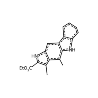 CCOC(=O)c1[nH]c2cc3c([nH]c4ccccc43)c(C)c2c1C